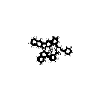 C1=C(c2ccccc2)N=C(c2cccc3c2oc2c(-n4c5ccccc5c5cc6ccccc6cc54)cc4ccccc4c23)NC1c1ccccc1